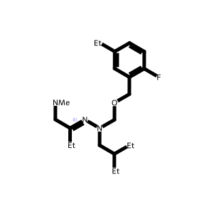 CC/C(CNC)=N\N(COCc1cc(CC)ccc1F)CC(CC)CC